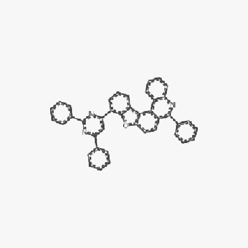 c1ccc(-c2cc(-c3cccc4c3oc3ccc5c(-c6ccccc6)nc6ccccc6c5c34)nc(-c3ccccc3)n2)cc1